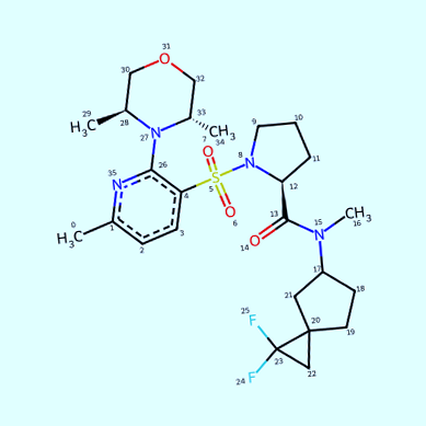 Cc1ccc(S(=O)(=O)N2CCC[C@H]2C(=O)N(C)C2CCC3(C2)CC3(F)F)c(N2[C@@H](C)COC[C@@H]2C)n1